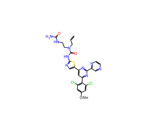 C=CCN(CCNC(N)=O)C(=O)Nc1ncc(-c2cc(-c3c(Cl)cc(OC)cc3Cl)nc(-c3cnccn3)n2)s1